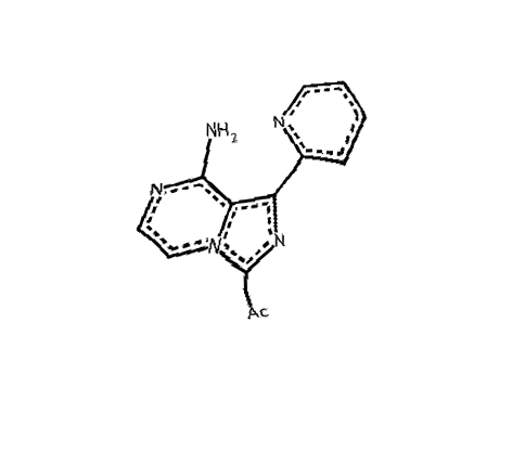 CC(=O)c1nc(-c2ccccn2)c2c(N)nccn12